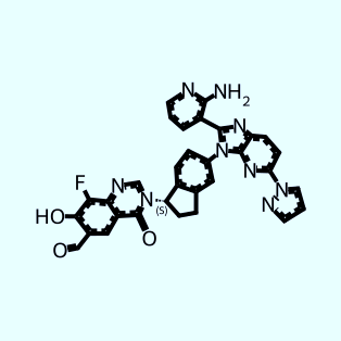 Nc1ncccc1-c1nc2ccc(-n3cccn3)nc2n1-c1ccc2c(c1)CC[C@@H]2n1cnc2c(F)c(O)c(C=O)cc2c1=O